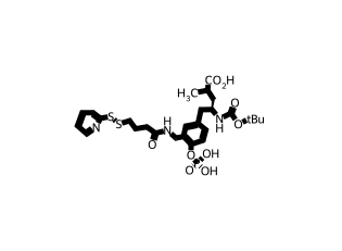 CC(C[C@H](Cc1ccc(OP(=O)(O)O)c(CNC(=O)CCCSSc2ccccn2)c1)NC(=O)OC(C)(C)C)C(=O)O